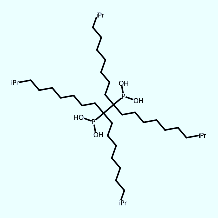 CC(C)CCCCCCCC(CCCCCCCC(C)C)(P(O)O)C(CCCCCCCC(C)C)(CCCCCCCC(C)C)P(O)O